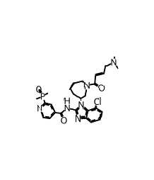 CN(C)C/C=C/C(=O)N1CCCC[C@@H](n2c(NC(=O)c3ccnc(P(C)(C)=O)c3)nc3cccc(Cl)c32)C1